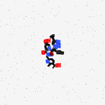 Cc1nc(CNC(=O)[C@@H]2C[C@@H](O)CN2C(=O)[C@@H](n2cc(C3CC3)nn2)C(C)(C)C)ccc1C(C)O